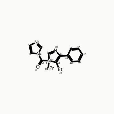 CCC[N+]1(C(=O)n2ccnc2)C=NC(c2ccccc2)=C1CC